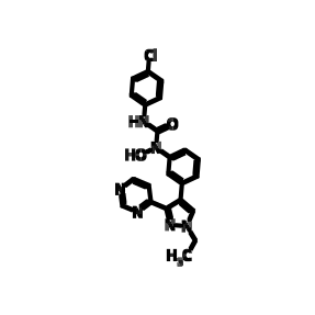 CCn1cc(-c2cccc(N(O)C(=O)Nc3ccc(Cl)cc3)c2)c(-c2ccncn2)n1